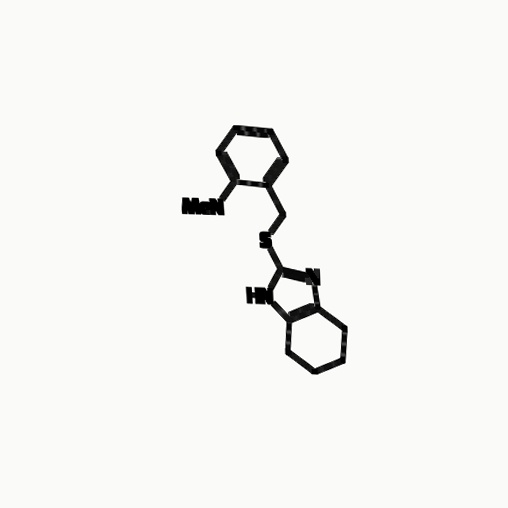 CNc1ccccc1CSc1nc2c([nH]1)CCCC2